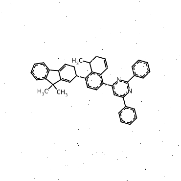 CC1CC=Cc2c(-c3cc(-c4ccccc4)nc(-c4ccccc4)n3)ccc(C3C=C4C(=CC3)c3ccccc3C4(C)C)c21